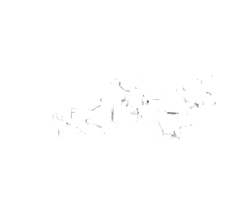 CC1C(=O)N(c2ccc(SC(F)(F)F)cc2)C(=O)N1Cc1ccncc1C(=O)OC(C)(C)C